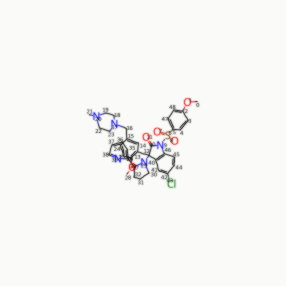 COc1ccc(S(=O)(=O)N2C(=O)C(c3cc(CN4CCN(C)CC4)ccc3OC)(N3CCCC3c3ccccn3)c3cc(Cl)ccc32)cc1